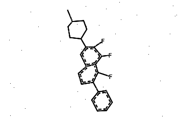 CC1CCC(c2cc3ccc(-c4ccccc4)c(F)c3c(F)c2F)CC1